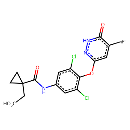 CC(C)c1cc(Oc2c(Cl)cc(NC(=O)C3(CC(=O)O)CC3)cc2Cl)n[nH]c1=O